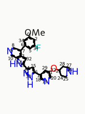 COc1cc(F)cc(-c2cncc3[nH]c(-c4cc(-c5cncc(OC6CCNCC6)c5)[nH]n4)cc23)c1